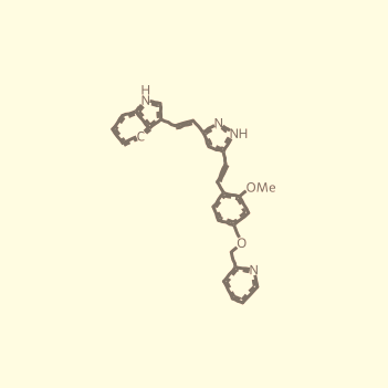 COc1cc(OCc2ccccn2)ccc1C=Cc1cc(C=Cc2c[nH]c3ccccc23)n[nH]1